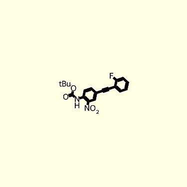 CC(C)(C)OC(=O)Nc1ccc(C#Cc2ccccc2F)cc1[N+](=O)[O-]